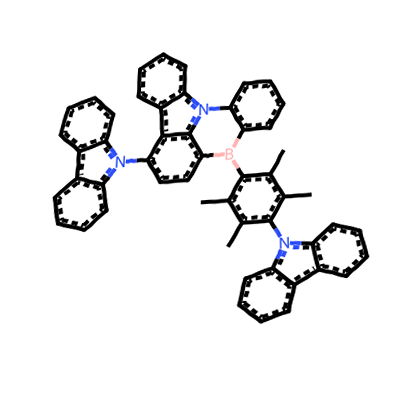 Cc1c(C)c(-n2c3ccccc3c3ccccc32)c(C)c(C)c1B1c2ccccc2-n2c3ccccc3c3c(-n4c5ccccc5c5ccccc54)ccc1c32